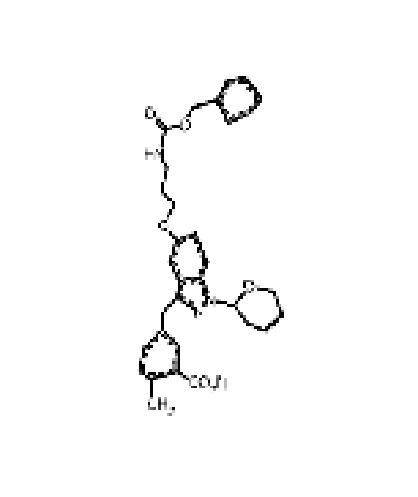 Cc1ccc(Cc2nn(C3CCCCO3)c3ccc(OCCCNC(=O)OCc4ccccc4)cc23)cc1C(=O)O